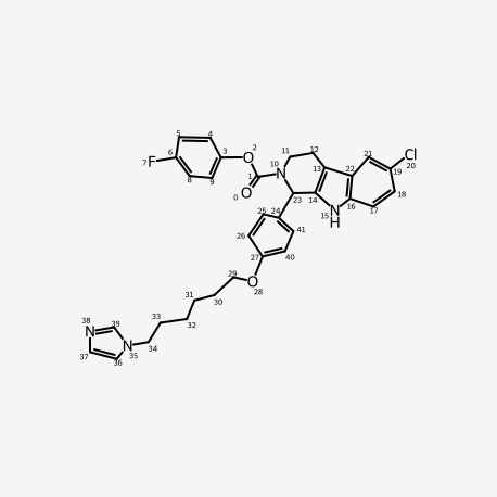 O=C(Oc1ccc(F)cc1)N1CCc2c([nH]c3ccc(Cl)cc23)C1c1ccc(OCCCCCCn2ccnc2)cc1